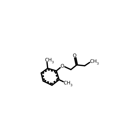 CCC(=O)COc1c(C)cccc1C